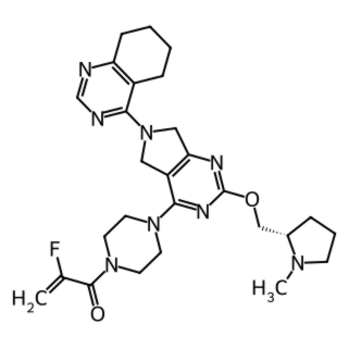 C=C(F)C(=O)N1CCN(c2nc(OC[C@@H]3CCCN3C)nc3c2CN(c2ncnc4c2CCCC4)C3)CC1